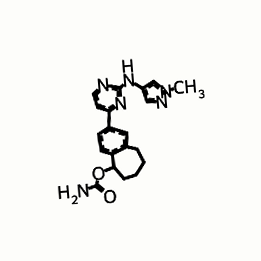 Cn1cc(Nc2nccc(-c3ccc4c(c3)CCCCC4OC(N)=O)n2)cn1